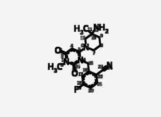 Cn1c(=O)cc(N2CCCC(C)(N)C2)n(Cc2cc(F)ccc2C#N)c1=O